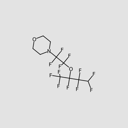 FC(F)C(F)(F)C(F)(OC(F)(F)C(F)(F)N1CCOCC1)C(F)(F)F